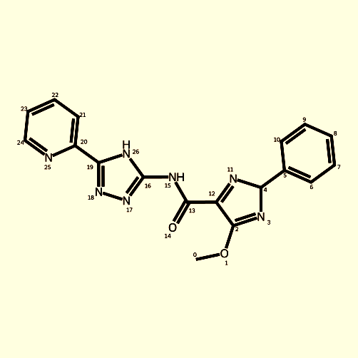 COC1=NC(c2ccccc2)N=C1C(=O)Nc1nnc(-c2ccccn2)[nH]1